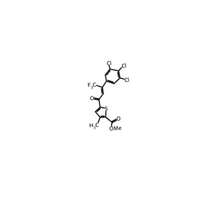 COC(=O)c1sc(C(=O)C=C(c2cc(Cl)c(Cl)c(Cl)c2)C(F)(F)F)cc1C